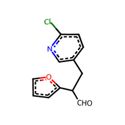 O=CC(Cc1ccc(Cl)nc1)c1ccco1